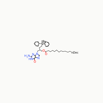 CCCCCCCCCCCCCCCCCCCCCC(=O)OC[C@H](CC[Si](c1ccccc1)(c1ccccc1)C(C)(C)C)Cn1cnc2c(=O)[nH]c(N)nc21